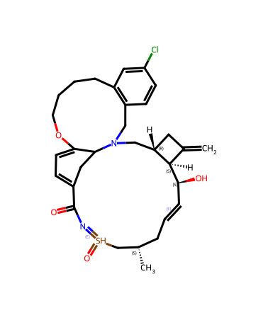 C=C1C[C@H]2CN3Cc4ccc(Cl)cc4CCCCOC4=CC=C(CC43)C(=O)/N=[SH](=O)\C[C@@H](C)C/C=C/[C@H](O)[C@H]12